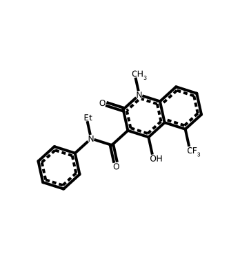 CCN(C(=O)c1c(O)c2c(C(F)(F)F)cccc2n(C)c1=O)c1ccccc1